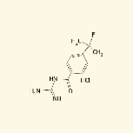 CC(C)(F)c1ccc(C(=O)NC(=N)N)cc1.Cl